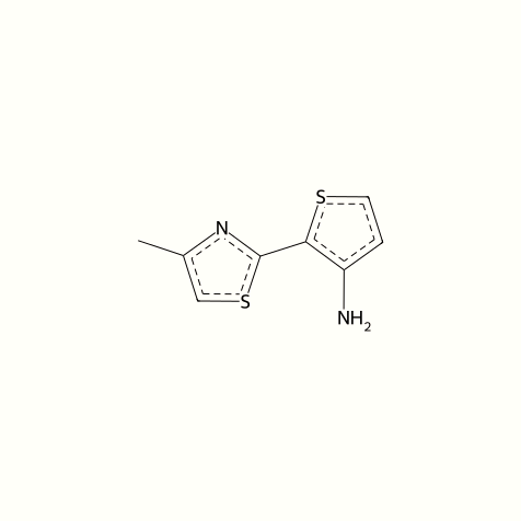 Cc1csc(-c2sccc2N)n1